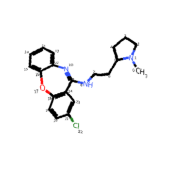 CN1CCCC1CCNC1=Nc2ccccc2Oc2ccc(Cl)cc21